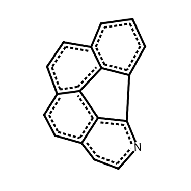 c1cc2c3c(c1)ccc1ccc4ccnc-2c4c13